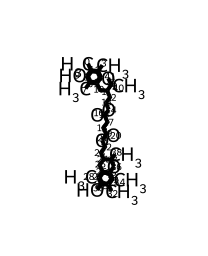 Cc1c(C)c2c(c(C)c1O)CC(CCOC(=O)CCC(=O)OCCC1Cc3c(C)c(O)c(C)c(C)c3OC1C)C(C)O2